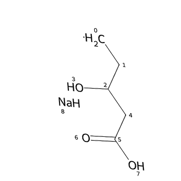 [CH2]CC(O)CC(=O)O.[NaH]